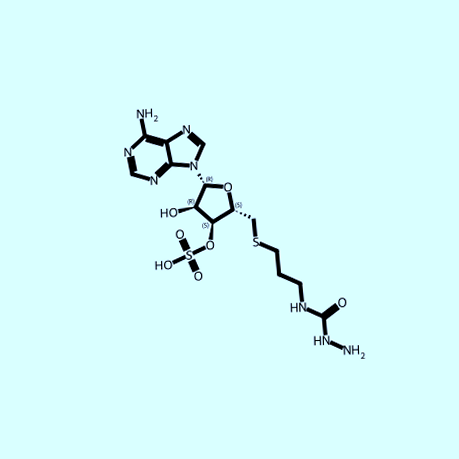 NNC(=O)NCCCSC[C@H]1O[C@@H](n2cnc3c(N)ncnc32)[C@H](O)[C@@H]1OS(=O)(=O)O